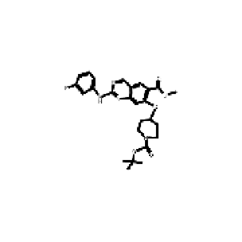 COC(=O)c1cc2cnc(Nc3cccc(F)c3)nc2cc1OC1CCN(C(=O)OC(C)(C)C)CC1